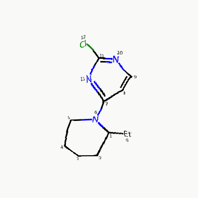 CCC1CCCCN1c1ccnc(Cl)n1